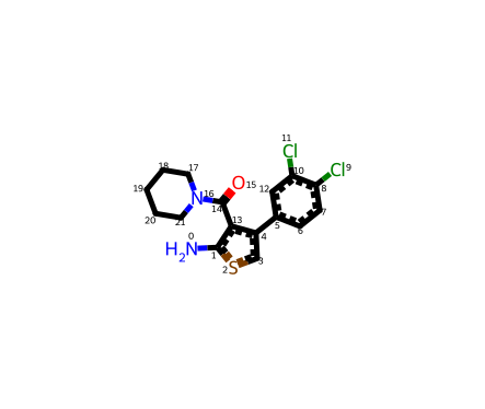 Nc1scc(-c2ccc(Cl)c(Cl)c2)c1C(=O)N1CCCCC1